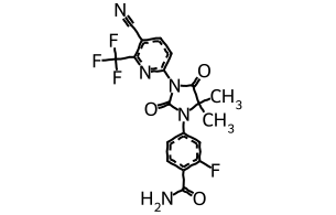 CC1(C)C(=O)N(c2ccc(C#N)c(C(F)(F)F)n2)C(=O)N1c1ccc(C(N)=O)c(F)c1